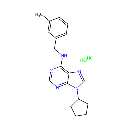 Cc1cccc(CNc2ncnc3c2ncn3C2CCCC2)c1.Cl.Cl